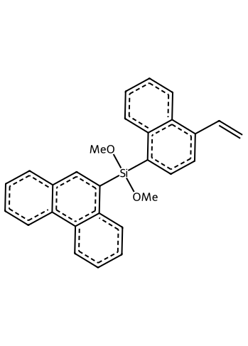 C=Cc1ccc([Si](OC)(OC)c2cc3ccccc3c3ccccc23)c2ccccc12